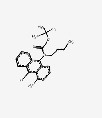 CCCCN(C(=O)OC(C)(C)C)c1c2ccccc2c(Cl)c2c(C)cccc12